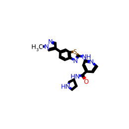 Cn1cc(-c2ccc3nc(Nc4cc(C(=O)N[C@H]5CCNC5)ccn4)sc3c2)cn1